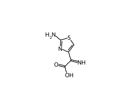 N=C(C(=O)O)c1csc(N)n1